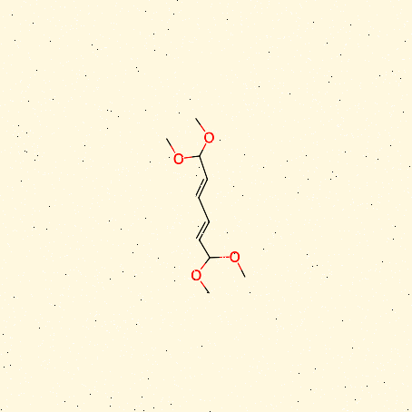 COC(/C=C/C=C/C(OC)OC)OC